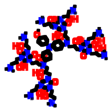 COc1ccc(N(c2ccc(N(CC(O)Cn3c(=O)n(CC(O)CN(C)C)c(=O)n(CC(O)CN(C)C)c3=O)CC(O)Cn3c(=O)n(CC(O)CN(C)C)c(=O)n(CC(O)CN(C)C)c3=O)cc2)c2ccc(N(CC(O)Cn3c(=O)n(CC(O)CN(C)C)c(=O)n(CC(O)CN(C)C)c3=O)CC(O)Cn3c(=O)n(CC(O)CN(C)C)c(=O)n(CC(O)CN(C)C)c3=O)cc2)cc1